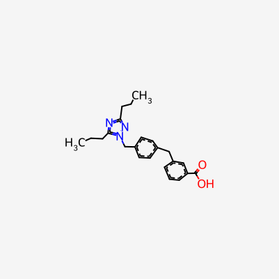 CCCc1nc(CCC)n(Cc2ccc(Cc3cccc(C(=O)O)c3)cc2)n1